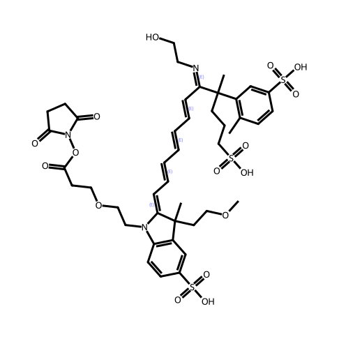 COCCC1(C)\C(=C/C=C/C=C/C=C/C(=N\CCO)C(C)(CCCS(=O)(=O)O)c2cc(S(=O)(=O)O)ccc2C)N(CCOCCC(=O)ON2C(=O)CCC2=O)c2ccc(S(=O)(=O)O)cc21